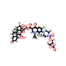 COc1c(N2CCN(C(=O)OCc3oc(=O)oc3C)C(C)C2)c(F)cc2c(=O)c(C(=O)OCC(=O)[C@]3(O)[C@@H](C)C[C@@H]4[C@H]5CCC6=CC(=O)C=C[C@@]6(C)[C@]5(F)[C@H](O)C[C@]43C)cn(C3CC3)c12